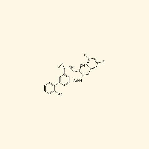 CC(=O)N[C@@H](Cc1cc(F)cc(F)c1)[C@H](O)CNC1(c2cccc(-c3ccccc3C(C)=O)c2)CC1